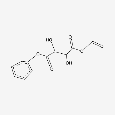 O=COC(=O)C(O)C(O)C(=O)Oc1ccccc1